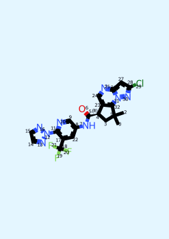 CC1(C)C[C@@H](C(=O)Nc2cnc(-n3nccn3)c(C(F)(F)F)c2)c2cnc3cc(Cl)nn3c21